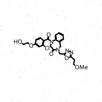 COCCc1nnc(CN2Cc3ccccc3N(C(=O)c3ccc(OCCO)cc3Cl)CC2=O)o1